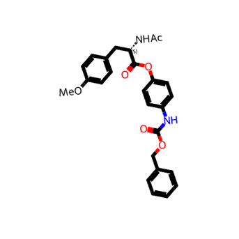 COc1ccc(C[C@H](NC(C)=O)C(=O)Oc2ccc(NC(=O)OCc3ccccc3)cc2)cc1